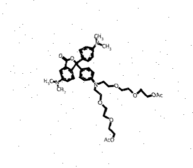 CC(=O)OCCOCCOCCN(CCOCCOCCOC(C)=O)c1ccc(C2(c3ccc(N(C)C)cc3)OC(=O)c3cc(N(C)C)ccc32)cc1